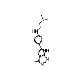 CNCCNc1ccc(-c2cc3c(I)ncnc3[nH]2)cc1